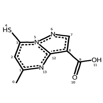 Cc1cc(S)n2ncc(C(=O)O)c2n1